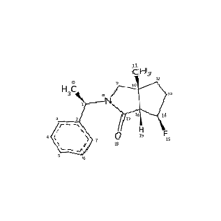 C[C@H](c1ccccc1)N1C[C@]2(C)CC[C@@H](F)[C@@H]2C1=O